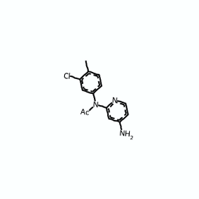 CC(=O)N(c1ccc(C)c(Cl)c1)c1cc(N)ccn1